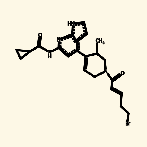 CC1CN(C(=O)C=CCCBr)CC=C1c1cc(NC(=O)C2CC2)nc2[nH]ccc12